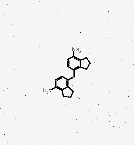 Nc1ccc(Cc2ccc(N)c3c2CCC3)c2c1CCC2